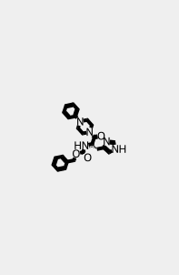 O=C(N[C@@H](Cc1c[nH]cn1)C(=O)N1CCN(c2ccccc2)CC1)OCc1ccccc1